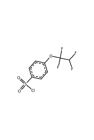 O=S(=O)(Cl)c1ccc(OC(F)(F)C(F)F)cc1